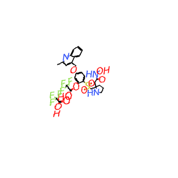 Cc1cc(COc2ccc(S(=O)(=O)CC3(CC(=O)NO)CCCN3)cc2)c2ccccc2n1.O=C(O)C(F)(F)F.O=C(O)C(F)(F)F